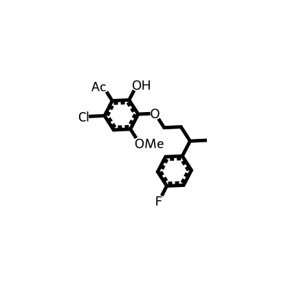 COc1cc(Cl)c(C(C)=O)c(O)c1OCCC(C)c1ccc(F)cc1